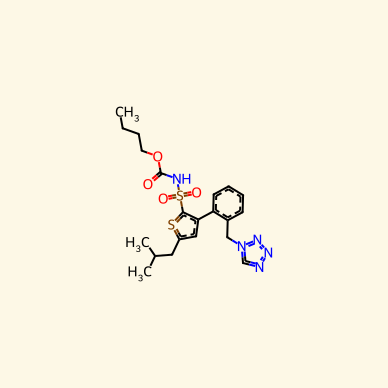 CCCCOC(=O)NS(=O)(=O)c1sc(CC(C)C)cc1-c1ccccc1Cn1cnnn1